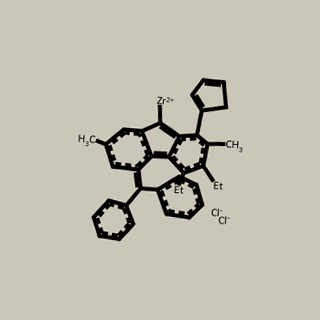 CCc1c(C)c(C2=CC=CC2)c2c(c1CC)=c1c(cc(C)cc1=C(c1ccccc1)c1ccccc1)[C]=2[Zr+2].[Cl-].[Cl-]